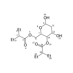 CCC(CC)C(=O)OCC1OC(O)CC(O)C1OC(=O)C(CC)CC